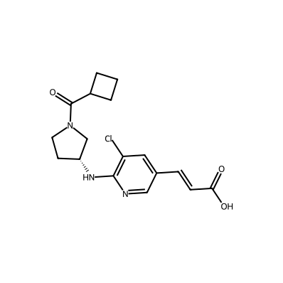 O=C(O)C=Cc1cnc(N[C@@H]2CCN(C(=O)C3CCC3)C2)c(Cl)c1